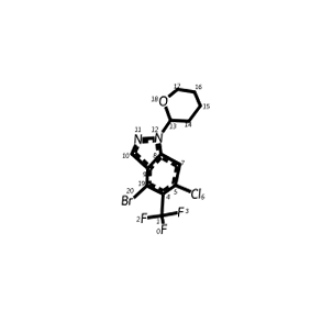 FC(F)(F)c1c(Cl)cc2c(cnn2C2CCCCO2)c1Br